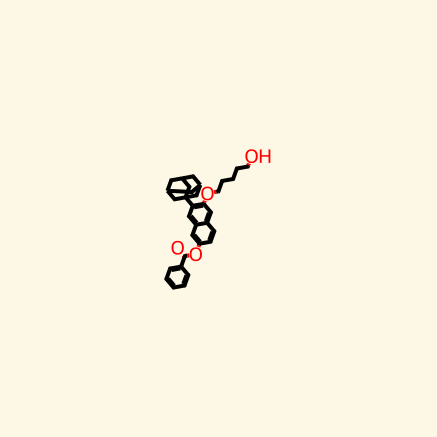 O=C(Oc1ccc2cc(OCCCCCO)c(C34CC5CC(CC(C5)C3)C4)cc2c1)c1ccccc1